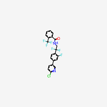 O=C(NCC(F)(F)c1ccc(-c2ccc(Cl)nc2)cc1F)c1ccccc1C(F)(F)F